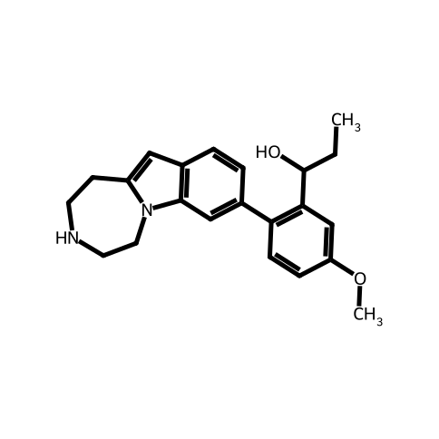 CCC(O)c1cc(OC)ccc1-c1ccc2cc3n(c2c1)CCNCC3